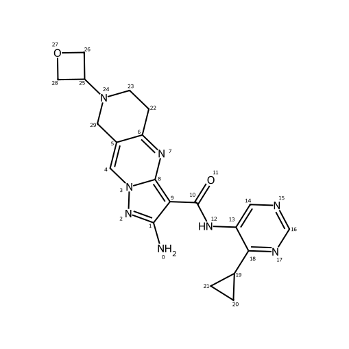 Nc1nn2cc3c(nc2c1C(=O)Nc1cncnc1C1CC1)CCN(C1COC1)C3